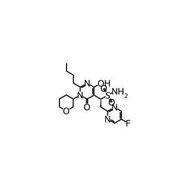 CCCCc1nc(O)c([C@H](Cc2ncc(F)cn2)S(N)(=O)=O)c(=O)n1C1CCCOC1